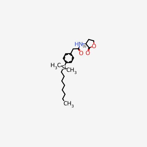 CCCCCCCC[Si](C)(C)c1ccc(CC(=O)N[C@H]2CCOC2=O)cc1